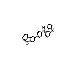 CC1(C)c2ccccc2-c2c(Nc3ccc(-c4ccc5sc6ccccc6c5c4)cc3)cccc21